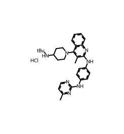 Cc1ccnc(Nc2ccc(Nc3nc4ccccc4c(N4CCC(NC(C)(C)C)CC4)c3C)cc2)n1.Cl